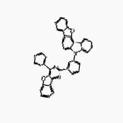 c1ccc(-c2nc(-c3cccc(-n4c5ccccc5c5c6oc7ccccc7c6ccc54)c3)nc3c2oc2ccccc23)cc1